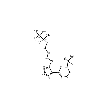 [2H]C([2H])([2H])N1CCC=C(c2nsnc2OCCCCC([2H])([2H])C([2H])([2H])[2H])C1